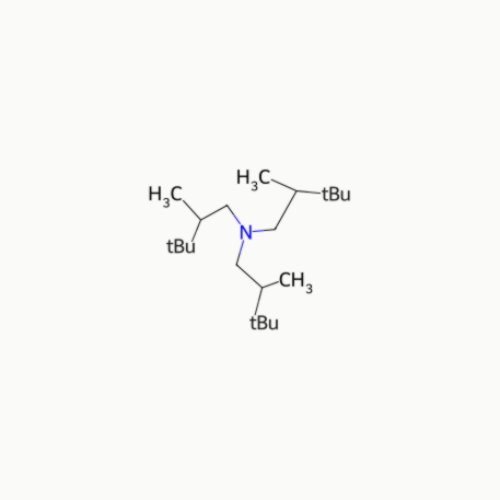 CC(CN(CC(C)C(C)(C)C)CC(C)C(C)(C)C)C(C)(C)C